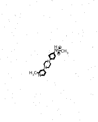 Cc1cc(N2CCN(c3ccc(NS(C)(=O)=O)cc3)CC2)ccn1